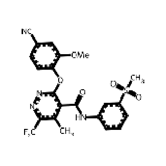 COc1cc(C#N)ccc1Oc1nnc(C(F)(F)F)c(C)c1C(=O)Nc1cccc(S(C)(=O)=O)c1